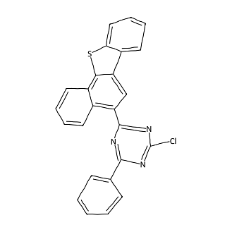 Clc1nc(-c2ccccc2)nc(-c2cc3c4ccccc4sc3c3ccccc23)n1